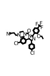 CCOc1cc(C(F)(F)F)ccc1C1=NC(c2ccc(Cl)cc2)C(c2ccc(Cl)cc2)N1C(=O)N1CCN(CCC#N)CC1